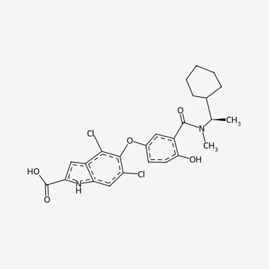 C[C@H](C1CCCCC1)N(C)C(=O)c1cc(Oc2c(Cl)cc3[nH]c(C(=O)O)cc3c2Cl)ccc1O